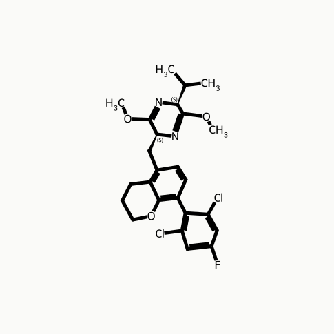 COC1=N[C@@H](C(C)C)C(OC)=N[C@H]1Cc1ccc(-c2c(Cl)cc(F)cc2Cl)c2c1CCCO2